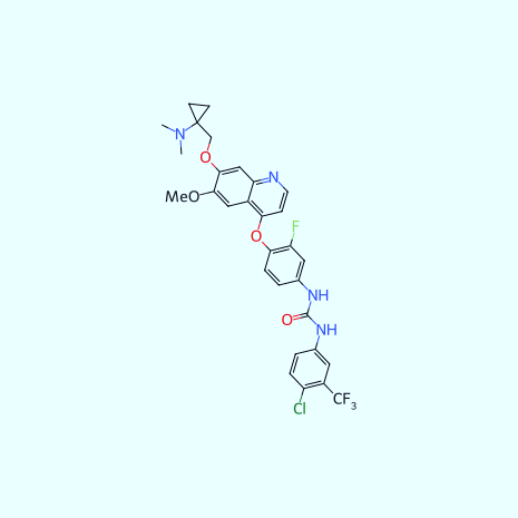 COc1cc2c(Oc3ccc(NC(=O)Nc4ccc(Cl)c(C(F)(F)F)c4)cc3F)ccnc2cc1OCC1(N(C)C)CC1